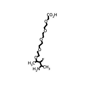 CC(N)C(F)C(C)OCCOCCOCCOCCOCC(=O)O